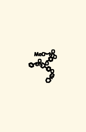 COCCCN1C(=O)COc2ccc(COC3CN(C(=O)OCc4ccccc4)CCC3c3ccc(OC4CCN(C5CCCCC5)C4)cc3)cc21